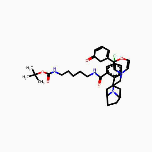 CC(C)(C)OC(=O)NCCCCCNC(=O)c1cc(Cl)ccc1C1CC2CCC(C1)N2CCN1C=COC(C2=CC=CC(=O)C2)=C1